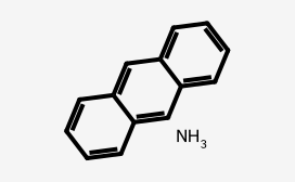 N.c1ccc2cc3ccccc3cc2c1